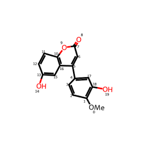 COc1ccc(-c2cc(=O)oc3ccc(O)cc23)cc1O